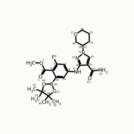 COC(=O)c1c(F)cc(Nc2nn([C@@H]3CCCOC3)cc2C(N)=O)cc1B1OC(C)(C)C(C)(C)O1